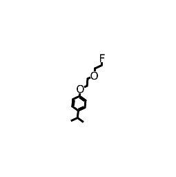 CC(C)c1ccc(OCCOCCF)cc1